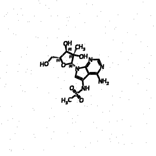 C[C@@]1(O)[C@H](O)[C@@H](CO)O[C@H]1n1cc(NS(C)(=O)=O)c2c(N)ncnc21